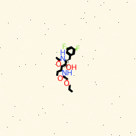 CCCOCC(=O)NC(CC)C[C@H](O)[C@H](Cc1cc(F)cc(F)c1)NC(C)=O